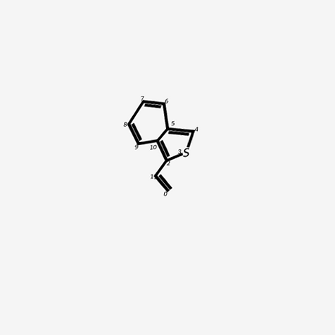 C=[C]c1scc2ccccc12